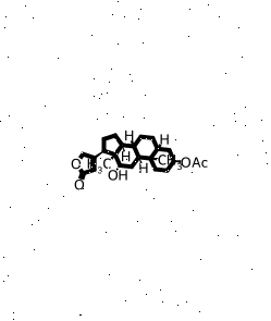 CC(=O)O[C@H]1CC[C@@]2(C)[C@H](CC[C@@H]3[C@@H]2C[C@H](O)[C@]2(C)[C@@H](C4=CC(=O)OC4)CC[C@@H]32)C1